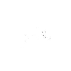 Cc1cccc(C2(CC=C[N+](=O)[O-])C3CC4CC(C3)CC2C4)c1